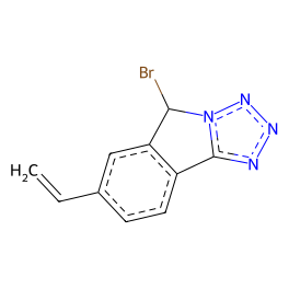 C=Cc1ccc2c(c1)C(Br)n1nnnc1-2